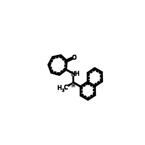 C[C@@H](Nc1cccccc1=O)c1cccc2ccccc12